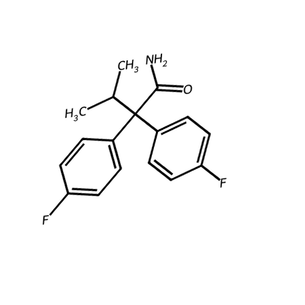 CC(C)C(C(N)=O)(c1ccc(F)cc1)c1ccc(F)cc1